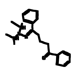 C[SiH](C)N(N=C(CCCC(=O)c1ccccc1)c1ccccc1)[SiH](C)C